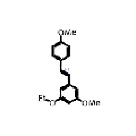 CCOc1cc(/C=C/c2ccc(OC)cc2)cc(OC)c1